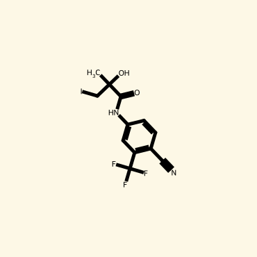 CC(O)(CI)C(=O)Nc1ccc(C#N)c(C(F)(F)F)c1